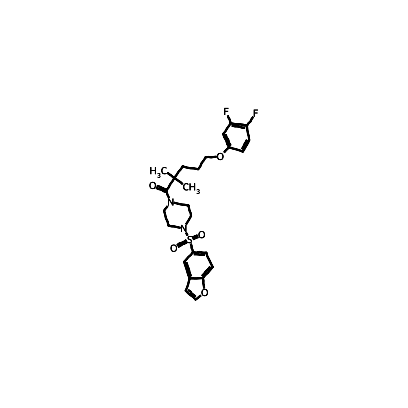 CC(C)(CCCOc1ccc(F)c(F)c1)C(=O)N1CCN(S(=O)(=O)c2ccc3occc3c2)CC1